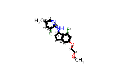 COCCOc1cc(F)c2c(c1)CCC2Nc1ncc(C)cc1Cl